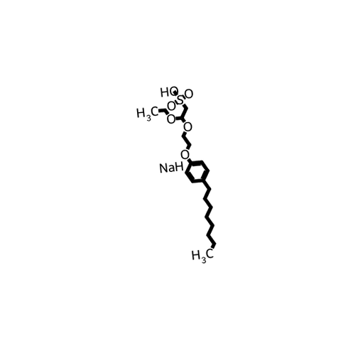 CCCCCCCCc1ccc(OCCOC(CS(=O)(=O)O)OCC)cc1.[NaH]